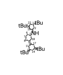 CC(C)(C)c1cc(Nc2cccc(-c3cc(C(C)(C)C)cc(C(C)(C)C)c3)c2)cc(C(C)(C)C)c1